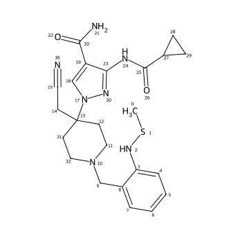 CSNc1ccccc1CN1CCC(CC#N)(n2cc(C(N)=O)c(NC(=O)C3CC3)n2)CC1